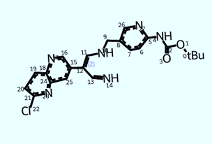 CC(C)(C)OC(=O)Nc1ccc(CN/C=C(\C=N)c2cnc3ccc(Cl)nc3c2)cn1